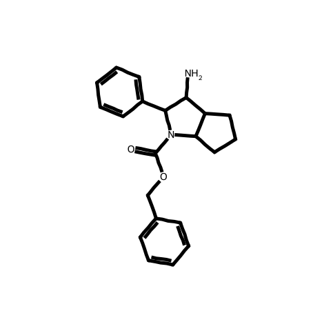 NC1C2CCCC2N(C(=O)OCc2ccccc2)C1c1ccccc1